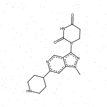 Cn1nc(N2CCC(=O)NC2=O)c2cnc(C3CCNCC3)cc21